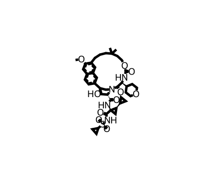 COc1cc2ccc3cc2cc1CCCC(C)(C)CCOC(=O)N[C@@H](C1CCOCC1)C(=O)N1C[C@@]3(O)C[C@H]1C(=O)N[C@]1(C(=O)NS(=O)(=O)C2CC2)C[C@@H]1C1CC1